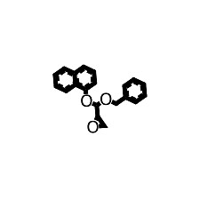 c1ccc(COC(Oc2cccc3ccccc23)C2CO2)cc1